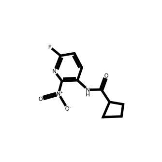 O=C(Nc1ccc(F)nc1[N+](=O)[O-])C1CCC1